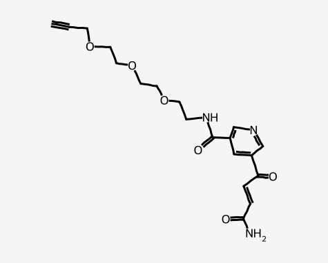 C#CCOCCOCCOCCNC(=O)c1cncc(C(=O)/C=C/C(N)=O)c1